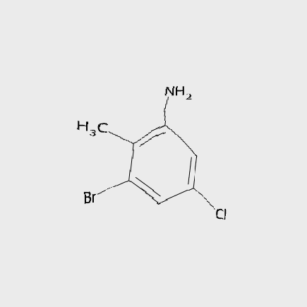 Cc1c(N)cc(Cl)cc1Br